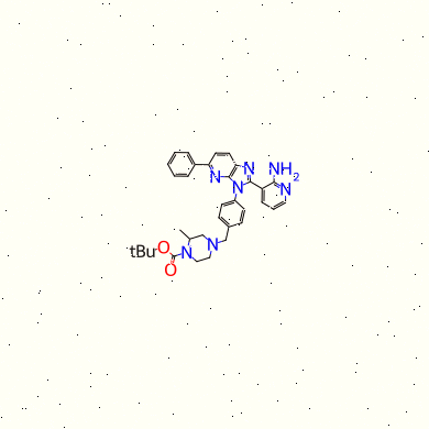 CC1CN(Cc2ccc(-n3c(-c4cccnc4N)nc4ccc(-c5ccccc5)nc43)cc2)CCN1C(=O)OC(C)(C)C